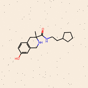 CC1(C(=O)NCCC2CCCC2)Cc2ccc(O)cc2CN1